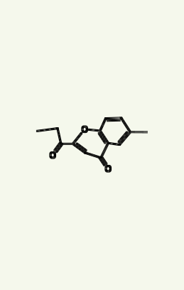 CCC(=O)c1cc(=O)c2cc(C)ccc2o1